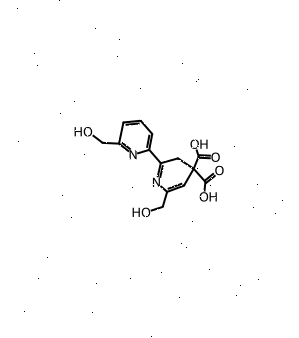 O=C(O)C1(C(=O)O)C=C(CO)N=C(c2cccc(CO)n2)C1